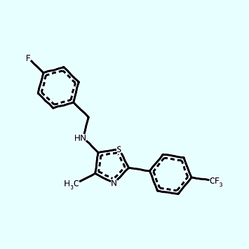 Cc1nc(-c2ccc(C(F)(F)F)cc2)sc1NCc1ccc(F)cc1